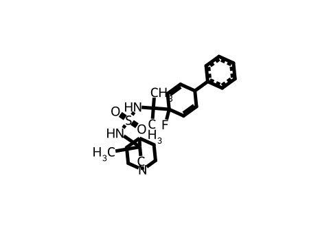 CC1(NS(=O)(=O)NC(C)(C)C2(F)C=CC(c3ccccc3)C=C2)CN2CCC1CC2